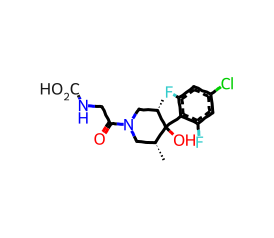 C[C@@H]1CN(C(=O)CNC(=O)O)C[C@H](C)C1(O)c1c(F)cc(Cl)cc1F